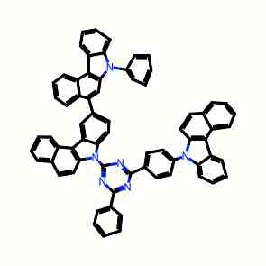 c1ccc(-c2nc(-c3ccc(-n4c5ccccc5c5c6ccccc6ccc54)cc3)nc(-n3c4ccc(-c5cc6c(c7ccccc57)c5ccccc5n6-c5ccccc5)cc4c4c5ccccc5ccc43)n2)cc1